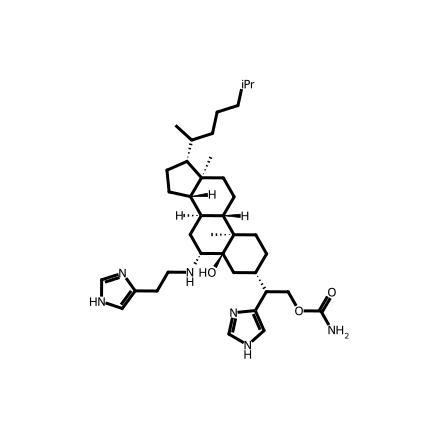 CC(C)CCCC(C)[C@H]1CC[C@H]2[C@@H]3C[C@@H](NCCc4c[nH]cn4)[C@@]4(O)C[C@@H](C(COC(N)=O)c5c[nH]cn5)CC[C@]4(C)[C@H]3CC[C@]12C